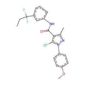 CCC(F)(F)c1cccc(NC(=O)c2c(C)nn(-c3ccc(OC)cc3)c2Cl)c1